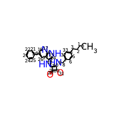 CCCCc1ccc(CNc2c(Nc3c[nH]c4ncc(-c5ccccc5)cc34)c(=O)c2=O)cc1